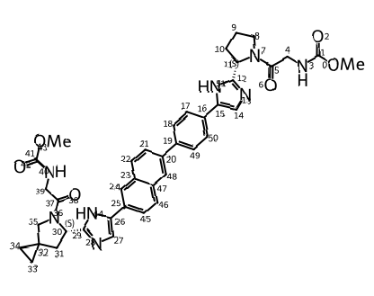 COC(=O)NCC(=O)N1CCC[C@H]1c1ncc(-c2ccc(-c3ccc4cc(-c5cnc([C@@H]6CC7(CC7)CN6C(=O)CNC(=O)OC)[nH]5)ccc4c3)cc2)[nH]1